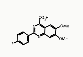 COc1cc2nc(-c3ccc(F)cc3)nc(C(=O)O)c2cc1OC